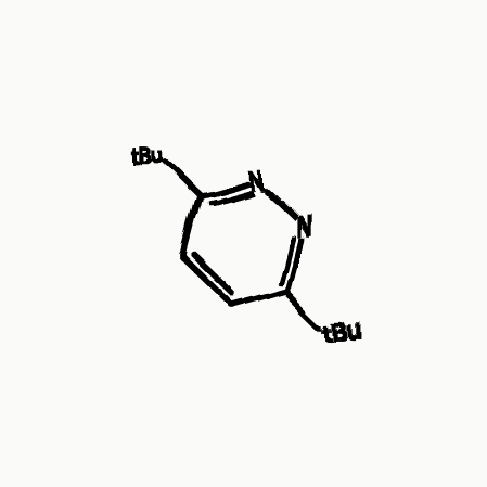 CC(C)(C)c1ccc(C(C)(C)C)nn1